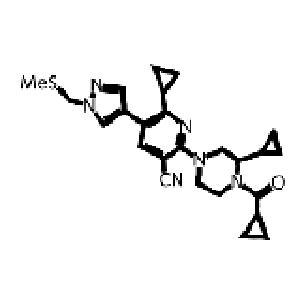 CSCn1cc(-c2cc(C#N)c(N3CCN(C(=O)C4CC4)C(C4CC4)C3)nc2C2CC2)cn1